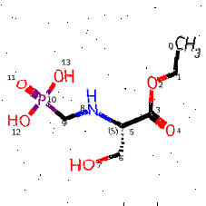 CCOC(=O)[C@H](CO)NCP(=O)(O)O